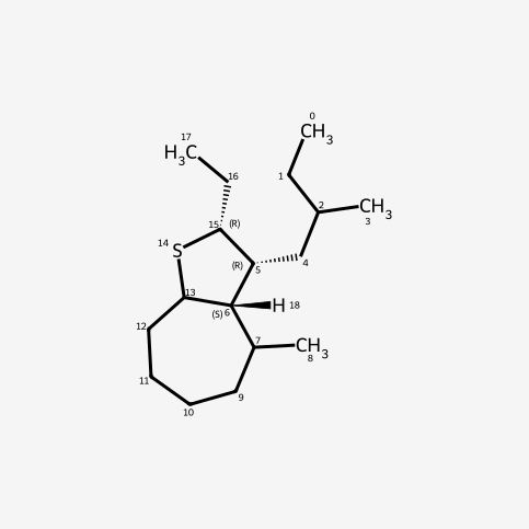 CCC(C)C[C@@H]1[C@@H]2C(C)CCCCC2S[C@@H]1CC